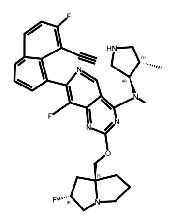 C#Cc1c(F)ccc2cccc(-c3ncc4c(N(C)[C@H]5CNC[C@@H]5C)nc(OC[C@@]56CCCN5C[C@H](F)C6)nc4c3F)c12